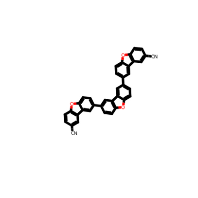 N#Cc1ccc2oc3ccc(-c4ccc5oc6ccc(-c7ccc8oc9ccc(C#N)cc9c8c7)cc6c5c4)cc3c2c1